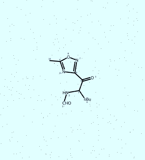 CCCCC(NC=O)C(=O)c1noc(C)n1